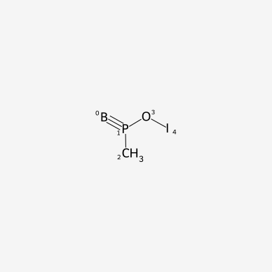 B#P(C)OI